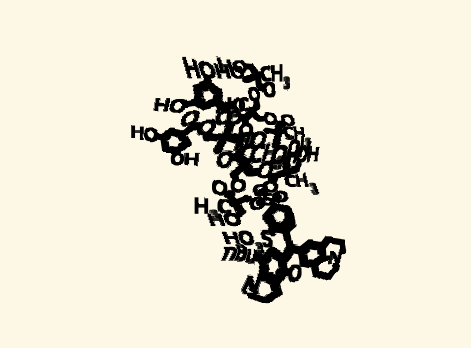 CCCCc1cc2c(c3c1=NCCC3)Oc1c(cc3c4c1CCCN4CCC3)C=2c1ccc(S(=O)(=O)OCC(C)(CO)C(=O)OCC(C)(COC(=O)C(C)(CO)CO)C(=O)OCC(COC(=O)c2cc(O)cc(O)c2)(COC(=O)c2cc(O)cc(O)c2)COC(=O)C(C)(COC(=O)C(C)(CO)CO)COC(=O)C(C)(CO)CO)cc1S(=O)(=O)O